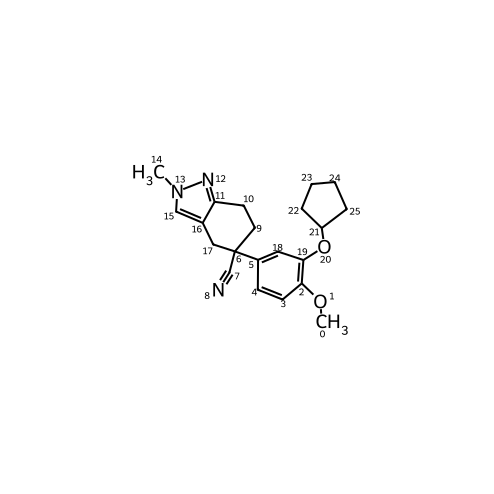 COc1ccc(C2(C#N)CCc3nn(C)cc3C2)cc1OC1CCCC1